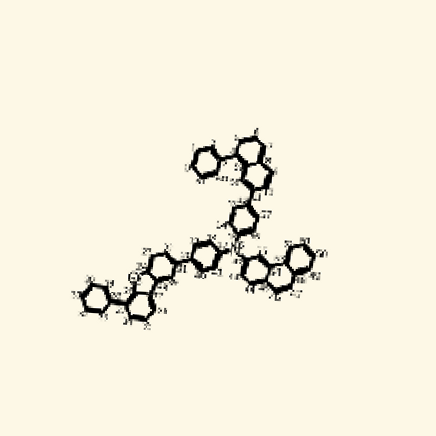 c1ccc(-c2cccc3ccc(-c4ccc(N(c5ccc(-c6ccc7oc8c(-c9ccccc9)cccc8c7c6)cc5)c5ccc6ccc7ccccc7c6c5)cc4)cc23)cc1